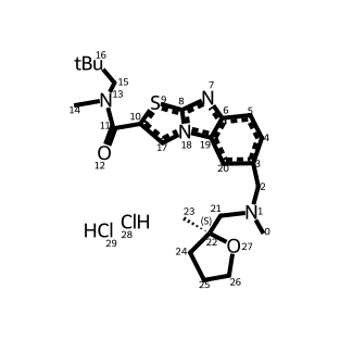 CN(Cc1ccc2nc3sc(C(=O)N(C)CC(C)(C)C)cn3c2c1)C[C@]1(C)CCCO1.Cl.Cl